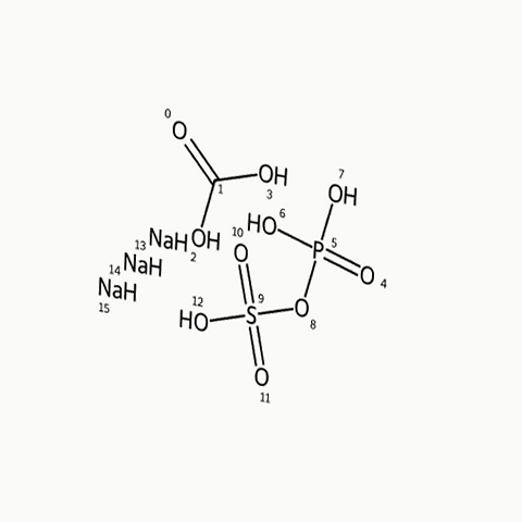 O=C(O)O.O=P(O)(O)OS(=O)(=O)O.[NaH].[NaH].[NaH]